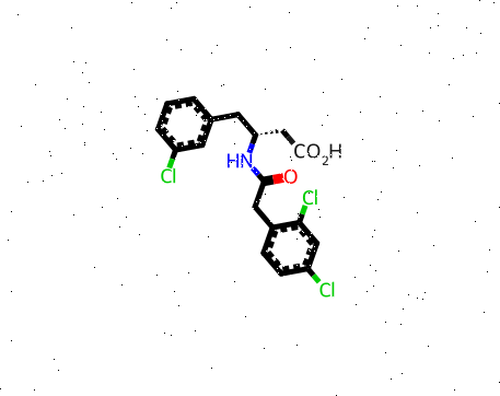 O=C(O)C[C@@H](Cc1cccc(Cl)c1)NC(=O)Cc1ccc(Cl)cc1Cl